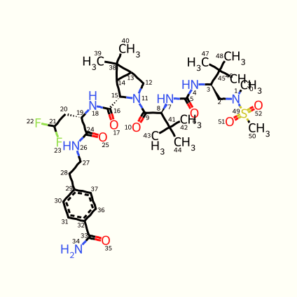 CN(C[C@@H](NC(=O)N[C@H](C(=O)N1CC2C([C@H]1C(=O)N[C@@H](CC(F)F)C(=O)NCCc1ccc(C(N)=O)cc1)C2(C)C)C(C)(C)C)C(C)(C)C)S(C)(=O)=O